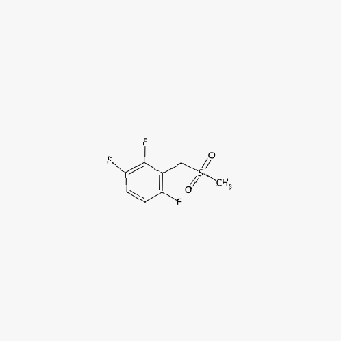 CS(=O)(=O)Cc1c(F)ccc(F)c1F